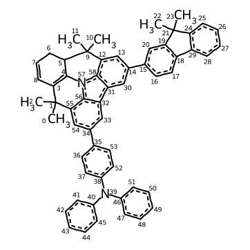 CC1(C)C2=C3C(CC=C2)C(C)(C)c2cc(-c4ccc5c(c4)C(C)(C)c4ccccc4-5)cc4c5cc(-c6ccc(N(c7ccccc7)c7ccccc7)cc6)cc1c5n3c24